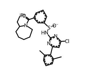 Cc1cccc(C)c1-c1cc(Cl)nc(N[S+]([O-])c2cccc(C(=O)N3CCCCCC3CC(C)C)c2)n1